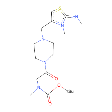 CN=c1scc(CN2CCN(C(=O)CN(C)C(=O)OC(C)(C)C)CC2)n1C